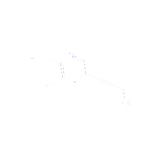 O=C(O)c1ncc(C#CCO)cc1Cl